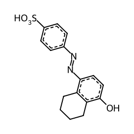 O=S(=O)(O)c1ccc(N=Nc2ccc(O)c3c2CCCC3)cc1